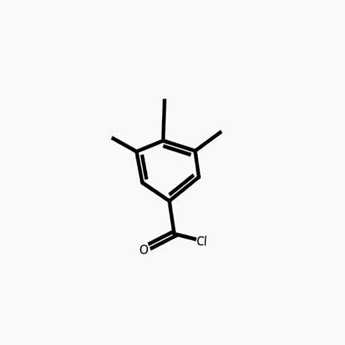 Cc1cc(C(=O)Cl)cc(C)c1C